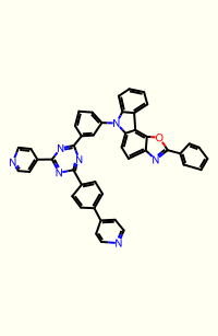 c1ccc(-c2nc3ccc4c(c5ccccc5n4-c4cccc(-c5nc(-c6ccncc6)nc(-c6ccc(-c7ccncc7)cc6)n5)c4)c3o2)cc1